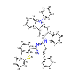 c1ccc(-c2cc(-n3c4ccccc4c4cc5c(cc43)c3ccccc3n5-c3ccccc3)nc(-c3cccc4c3sc3ccccc34)n2)cc1